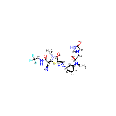 CCn1c(=C(C#N)C(=O)NCC(F)(F)F)sc(=CNc2cccc(N(C)C(=O)CN3CNC(=O)C3)c2)c1=O